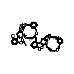 Cc1cccc(Cl)c1N1Cc2cnc3nc2N(C/C=C\C(Cc2cccc(Cl)c2N2Cc4cnc5nc4N(C/C=C/COCc4cccc(c4)N5)C2=O)OCc2cccc(c2)N3)C1=O